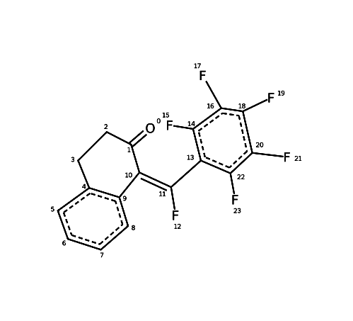 O=C1CCc2ccccc2C1=C(F)c1c(F)c(F)c(F)c(F)c1F